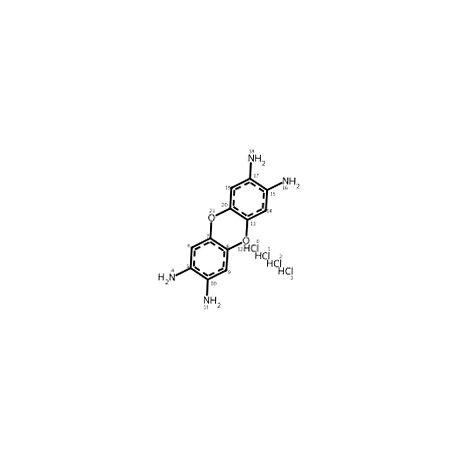 Cl.Cl.Cl.Cl.Nc1cc2c(cc1N)Oc1cc(N)c(N)cc1O2